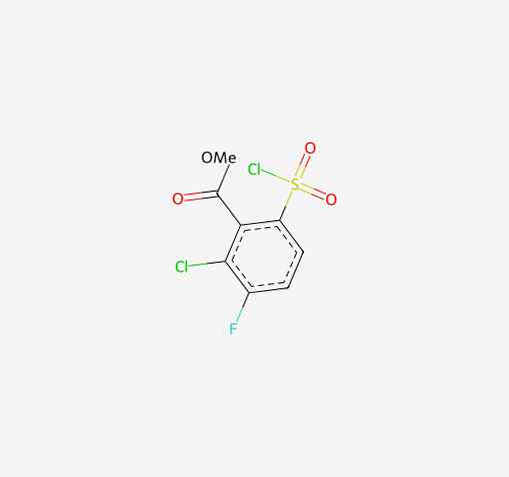 COC(=O)c1c(S(=O)(=O)Cl)ccc(F)c1Cl